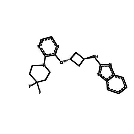 FC1(F)CCN(c2nccnc2O[C@H]2C[C@H](Nc3nc4ccccc4s3)C2)CC1